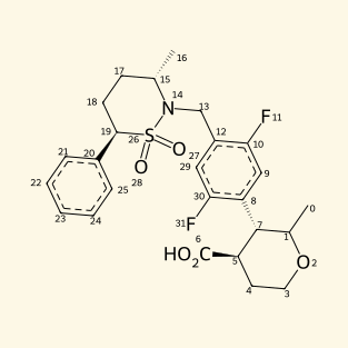 CC1OCC[C@@H](C(=O)O)[C@@H]1c1cc(F)c(CN2[C@@H](C)CC[C@H](c3ccccc3)S2(=O)=O)cc1F